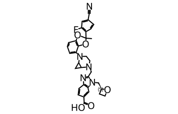 CC1(c2ccc(C#N)cc2F)Oc2cccc(N3CCN(Cc4nc5ccc(C(=O)O)cc5n4C[C@@H]4CCO4)C4CC43)c2O1